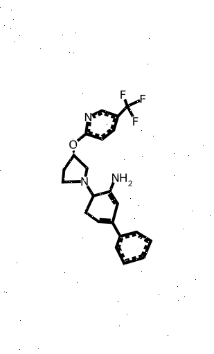 NC1=CC(c2ccccc2)=CCC1N1CC[C@H](Oc2ccc(C(F)(F)F)cn2)C1